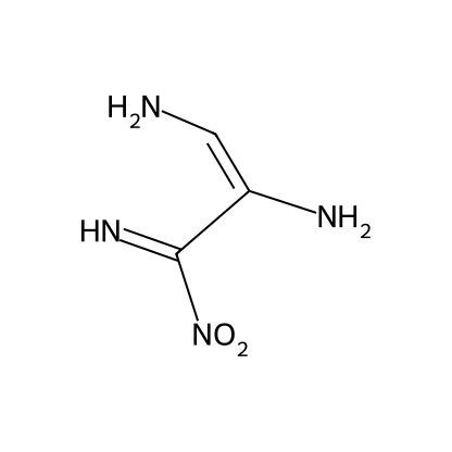 N=C(/C(N)=C\N)[N+](=O)[O-]